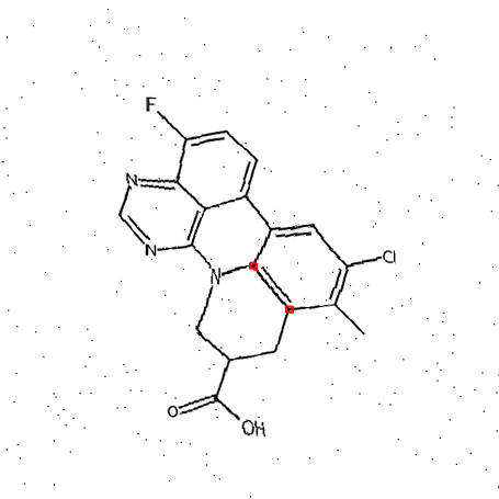 Cc1ccc(-c2ccc(F)c3ncnc(N4CCCC(C(=O)O)C4)c23)cc1Cl